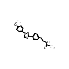 O=C(NCCc1ccc(-c2ncn(-c3ccc(OC(F)(F)F)cc3)n2)cc1)C(F)(F)F